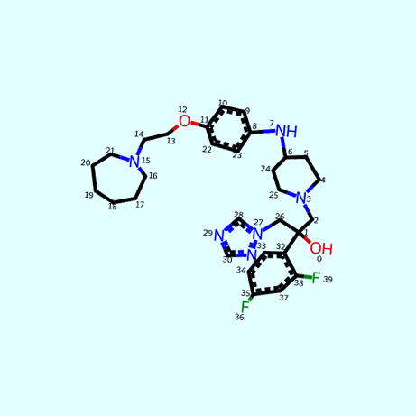 OC(CN1CCC(Nc2ccc(OCCN3CCCCCC3)cc2)CC1)(Cn1cncn1)c1ccc(F)cc1F